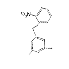 Cc1cc(C)cc(Cc2ccccc2[N+](=O)[O-])c1